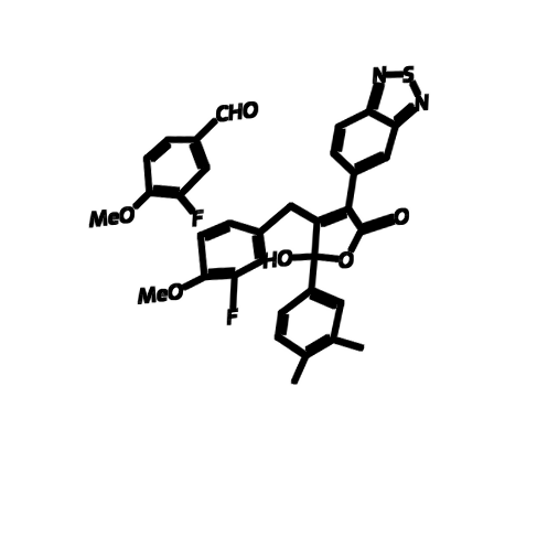 COc1ccc(C=O)cc1F.COc1ccc(CC2=C(c3ccc4nsnc4c3)C(=O)OC2(O)c2ccc(C)c(C)c2)cc1F